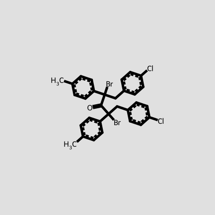 Cc1ccc(C(Br)(Cc2ccc(Cl)cc2)C(=O)C(Br)(Cc2ccc(Cl)cc2)c2ccc(C)cc2)cc1